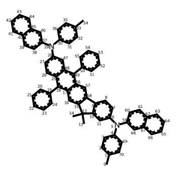 Cc1ccc(N(c2ccc3c(c2)C(C)(C)c2cc4c(-c5ccccc5)c5ccc(N(c6ccc(C)cc6)c6ccc7ccccc7c6)cc5c(-c5ccccc5)c4cc2-3)c2ccc3ccccc3c2)cc1